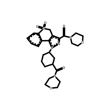 O=C(c1nn(C2CCCC(C(=O)N3CCOCC3)C2)c2c1CS(=O)(=O)c1ccccc1-2)N1CCOCC1